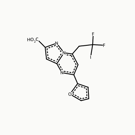 O=C(O)c1cc2nc(-c3ccco3)cc(CC(F)(F)I)n2n1